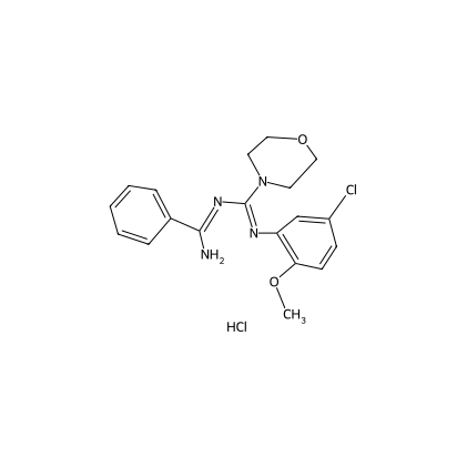 COc1ccc(Cl)cc1/N=C(/N=C(\N)c1ccccc1)N1CCOCC1.Cl